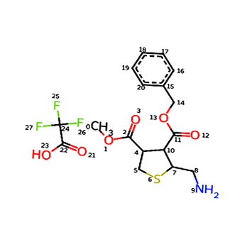 COC(=O)C1CSC(CN)C1C(=O)OCc1ccccc1.O=C(O)C(F)(F)F